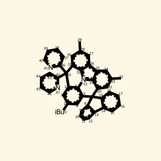 CCC(C)c1cc2c3c(c1)C1(c4ccccc4-c4ccccc41)c1cc(C)cc4c5cc(C)cc(c5n-3c14)C2(c1ccccn1)c1ccccn1